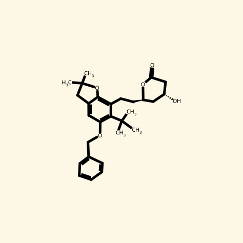 CC1(C)Cc2cc(OCc3ccccc3)c(C(C)(C)C)c(CC[C@@H]3C[C@@H](O)CC(=O)O3)c2O1